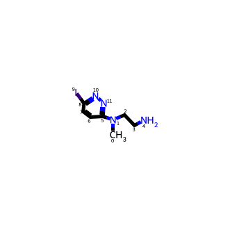 CN(CCN)c1ccc(I)nn1